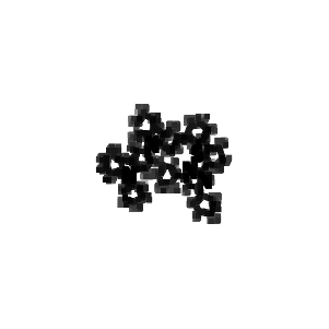 c1ccc(-c2cc(-c3ccccc3)nc(-c3cccc4c3sc3c(-c5ccc6c(c5)c5ccccc5n6-c5ccc6c(c5)c5ccccc5n6-c5ccccc5)cccc34)n2)cc1